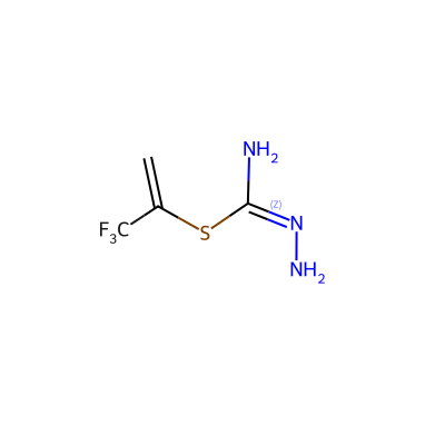 C=C(S/C(N)=N\N)C(F)(F)F